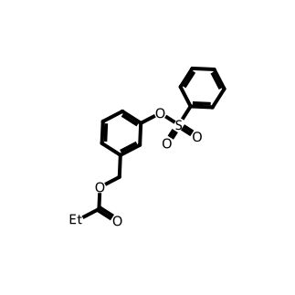 CCC(=O)OCc1cccc(OS(=O)(=O)c2ccccc2)c1